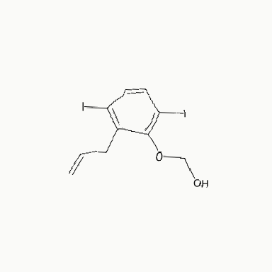 C=CCc1c(I)ccc(I)c1OCO